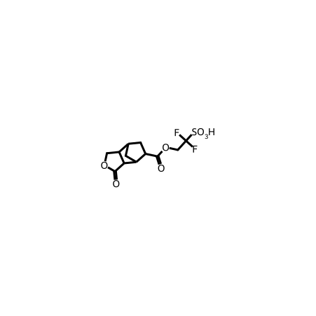 O=C(OCC(F)(F)S(=O)(=O)O)C1CC2CC1C1C(=O)OCC21